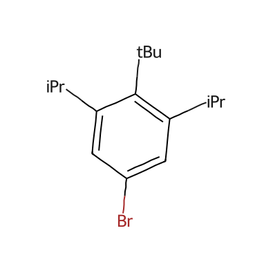 CC(C)c1cc(Br)cc(C(C)C)c1C(C)(C)C